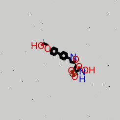 C[C@@H](O)COc1ccc(-c2ccc(C3=NO[C@@H](CC[C@](C)(C(=O)NO)S(C)(=O)=O)C3)cc2)cc1